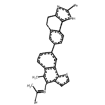 C/C(=N\c1c(C)c2ccc(-c3ccc4c(c3)CCc3nc(C(C)C)[nH]c3-4)cc2c2sccc12)C(C)C